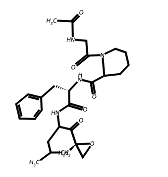 CC(=O)NCC(=O)N1CCCCC1C(=O)N[C@@H](Cc1ccccc1)C(=O)NC(CC(C)C)C(=O)[C@@]1(C)CO1